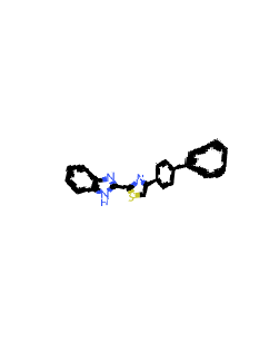 c1ccc(-c2ccc(-c3csc(-c4nc5ccccc5[nH]4)n3)cc2)cc1